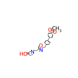 CS(=O)(=O)c1ccc(-c2ccc(Cc3nc(CCN4CC[C@H](O)C4)co3)cc2)cc1